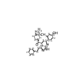 CC1(C)CN(C(=O)C2=CC(c3ccc(O)cc3)=NC3NN=C(/C=C/c4ccccc4)C23)CCN1